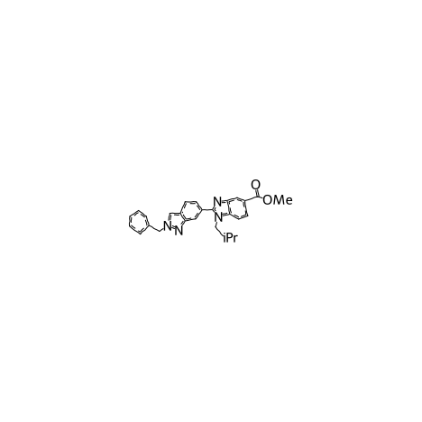 COC(=O)c1ccc2c(c1)nc(-c1ccc3cn(Cc4ccccc4)nc3c1)n2CC(C)C